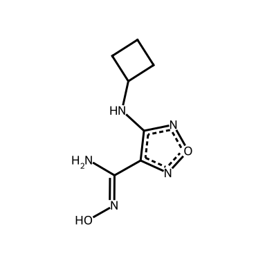 N/C(=N\O)c1nonc1NC1CCC1